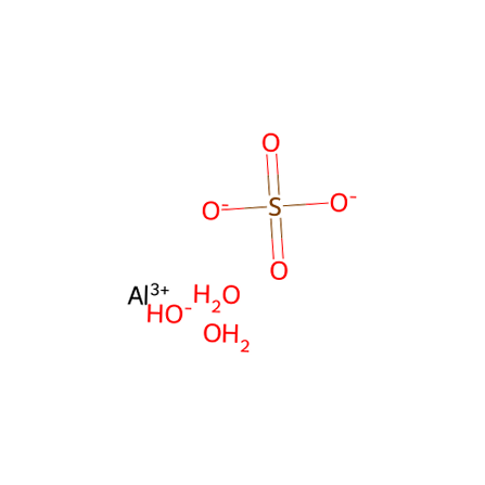 O.O.O=S(=O)([O-])[O-].[Al+3].[OH-]